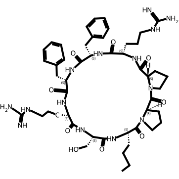 CCCC[C@@H]1NC(=O)[C@H](CO)NC(=O)[C@H](CCCNC(=N)N)NC(=O)[C@H](Cc2ccccc2)NC(=O)[C@H](Cc2ccccc2)NC(=O)[C@H](CCCNC(=N)N)NC(=O)[C@@H]2CCCN2C(=O)[C@H]2CCCN2C1=O